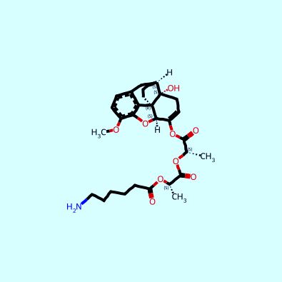 COc1ccc2c3c1O[C@@H]1C(OC(=O)[C@H](C)OC(=O)[C@H](C)OC(=O)CCCCCN)=CC[C@]4(O)[C@@H](CCC[C@@]314)C2